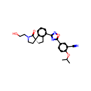 CC(C)Oc1ccc(-c2nc(-c3cccc4c3CC[C@@]43CCN(CCO)C3=O)no2)cc1C#N